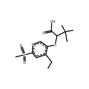 CCc1cc(S(C)(=O)=O)ncc1OC(C(=O)O)C(C)(C)C